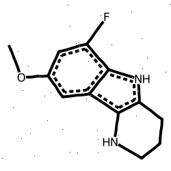 COc1cc(F)c2[nH]c3c(c2c1)NCCC3